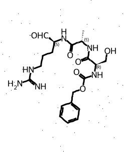 C[C@H](NC(=O)[C@@H](CO)NC(=O)OCc1ccccc1)C(=O)N[C@H]([C]=O)CCCNC(=N)N